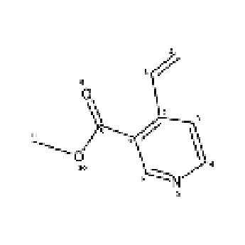 C=Cc1ccncc1C(=O)OC